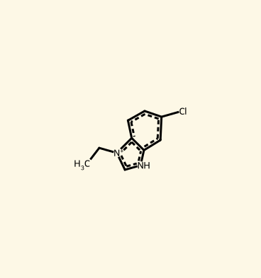 CC[n+]1c[nH]c2cc(Cl)ccc21